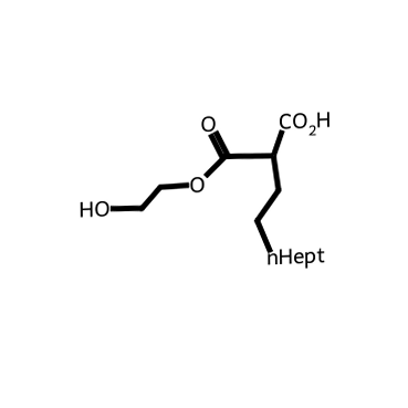 CCCCCCCCCC(C(=O)O)C(=O)OCCO